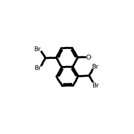 [O]c1ccc(C(Br)Br)c2cccc(C(Br)Br)c12